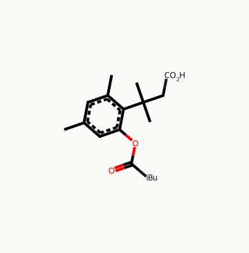 CCC(C)C(=O)Oc1cc(C)cc(C)c1C(C)(C)CC(=O)O